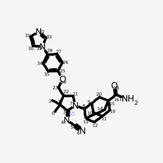 CC1(C)/C(=N/C#N)N(C2C3CC4CC2CC(C(N)=O)(C4)C3)CC1COc1ccc(-n2ccnc2)cc1